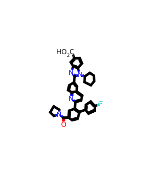 O=C(O)c1ccc2c(c1)nc(-c1ccc3nc(-c4cc(C(=O)N5CCCC5)ccc4-c4ccc(F)cc4)ccc3c1)n2C1CCCCC1